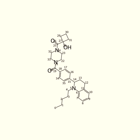 CCCCCN1c2ccccc2CCC1c1ccc(C(=O)N2CCN(C(=O)C3(O)CCC3)CC2)cc1